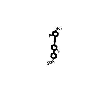 CCCCc1ccc(C#Cc2ccc(-c3ccc(N=C=S)cc3)c(F)c2)c(F)c1